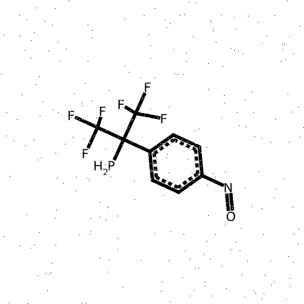 O=Nc1ccc(C(P)(C(F)(F)F)C(F)(F)F)cc1